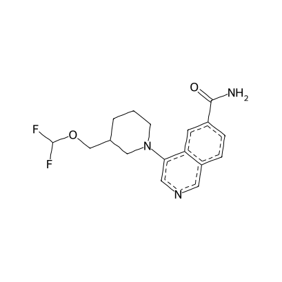 NC(=O)c1ccc2cncc(N3CCCC(COC(F)F)C3)c2c1